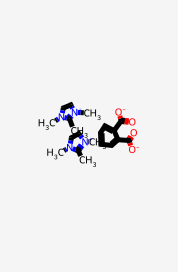 CC1=[N+](C)CCN1C.CC1=[N+](C)CCN1C.O=C([O-])c1ccccc1C(=O)[O-]